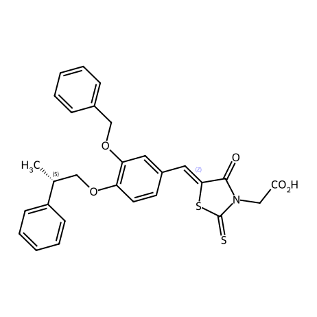 C[C@H](COc1ccc(/C=C2\SC(=S)N(CC(=O)O)C2=O)cc1OCc1ccccc1)c1ccccc1